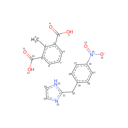 Cc1c(C(=O)O)cccc1C(=O)O.O=[N+]([O-])c1ccc(Cc2ncc[nH]2)cc1